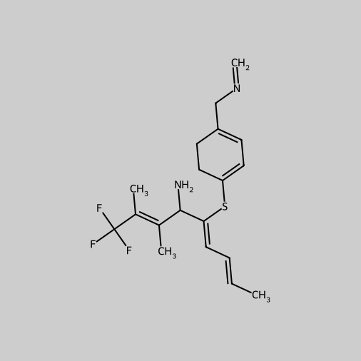 C=NCC1=CC=C(S/C(=C\C=C\C)C(N)/C(C)=C(\C)C(F)(F)F)CC1